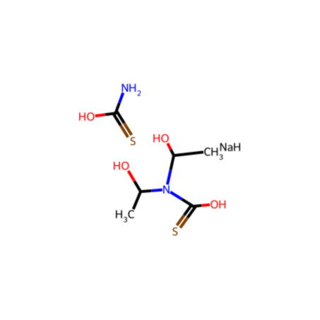 CC(O)N(C(O)=S)C(C)O.NC(O)=S.[NaH]